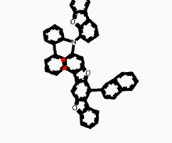 c1ccc(-c2ccccc2N(c2ccc3c(c2)oc2c(-c4ccc5ccccc5c4)c4c(cc23)oc2ccccc24)c2cccc3c2oc2ccccc23)cc1